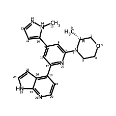 C[C@@H]1COCCN1c1cc(-c2ccnn2C)cc(-c2ccnc3[nH]ccc23)n1